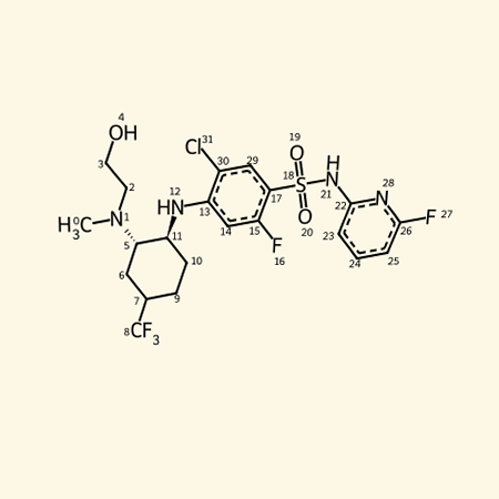 CN(CCO)[C@H]1CC(C(F)(F)F)CC[C@@H]1Nc1cc(F)c(S(=O)(=O)Nc2cccc(F)n2)cc1Cl